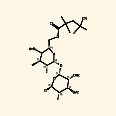 CC[C@H]1O[C@H](O[C@H]2O[C@H](COC(=O)C(C)(C)CC(C)(C)C#N)C(OC(C)=O)[C@H](C)[C@H]2C)[C@H](OC(C)=O)[C@@H](OC(C)=O)[C@@H]1C